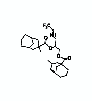 CC1C=C2CCCC(C(=O)OCC(CNSC(F)(F)F)OC(=O)C3(C)CC4CCCC(C4)C3)(C2)C1